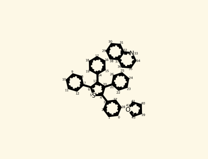 c1ccc(-c2sc(-c3ccccc3)c(-c3ccccc3)c2-c2ccccc2)cc1.c1ccc2ncccc2c1.c1ccoc1